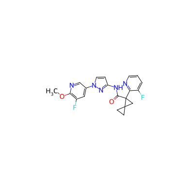 COc1ncc(-n2ccc(NC(=O)C3(c4ncccc4F)CC34CC4)n2)cc1F